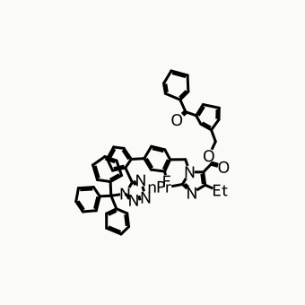 CCCc1nc(CC)c(C(=O)OCc2cccc(C(=O)c3ccccc3)c2)n1Cc1ccc(-c2ccccc2-c2nnnn2C(c2ccccc2)(c2ccccc2)c2ccccc2)cc1F